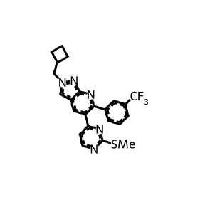 CSc1nccc(-c2cc3cn(CC4CCC4)nc3nc2-c2cccc(C(F)(F)F)c2)n1